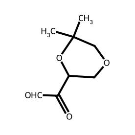 CC1(C)COCC(C(=O)C=O)O1